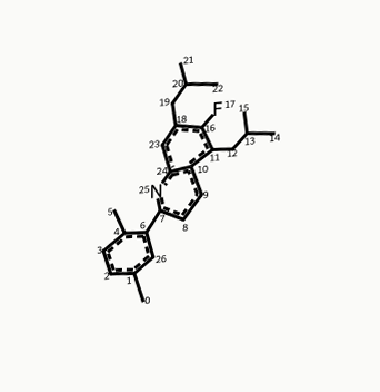 Cc1ccc(C)c(-c2ccc3c(CC(C)C)c(F)c(CC(C)C)cc3n2)c1